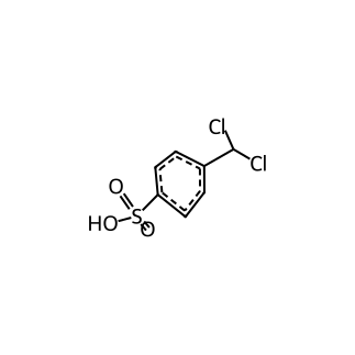 O=S(=O)(O)c1ccc(C(Cl)Cl)cc1